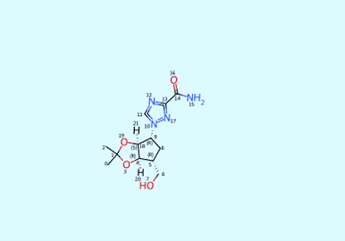 CC1(C)O[C@@H]2[C@@H](CO)C[C@@H](n3cnc(C(N)=O)n3)[C@@H]2O1